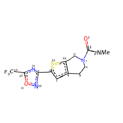 CNC(=O)N1CCc2cc(-c3noc(C(F)(F)F)n3)sc2C1